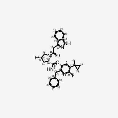 CC1(c2ccc([C@@H](NC(=O)[C@@H]3C[C@@H](F)CN3C(=O)Cc3n[nH]c4ccccc34)c3ccccc3)nc2F)CC1